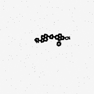 N#Cc1cc2ccc3cc(-c4ccc(-c5ccc6ccc7c(-c8ccccn8)ccc8ccc5c6c87)cc4)cc4c3c2c(c1)n4-c1ccccc1